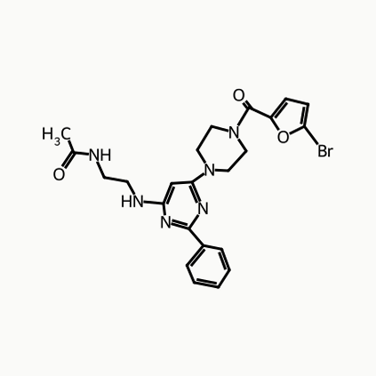 CC(=O)NCCNc1cc(N2CCN(C(=O)c3ccc(Br)o3)CC2)nc(-c2ccccc2)n1